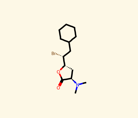 CN(C)[C@@H]1C[C@@H]([C@H](Br)CC2CCCCC2)OC1=O